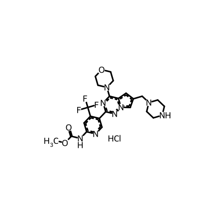 COC(=O)Nc1cc(C(F)(F)F)c(-c2nc(N3CCOCC3)c3cc(CN4CCNCC4)cn3n2)cn1.Cl